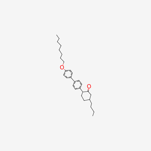 CCCCCCCCOc1ccc(-c2ccc(C3CCC(CCCC)CC3=O)cc2)cc1